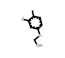 Cc1ccc(OC[C]=O)cc1Cl